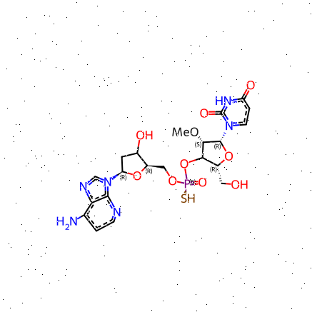 CO[C@H]1C(O[P@@](=O)(S)OC[C@H]2O[C@@H](n3cnc4c(N)ccnc43)CC2O)[C@@H](CO)O[C@H]1n1ccc(=O)[nH]c1=O